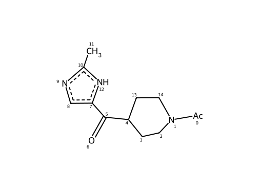 CC(=O)N1CCC(C(=O)c2cnc(C)[nH]2)CC1